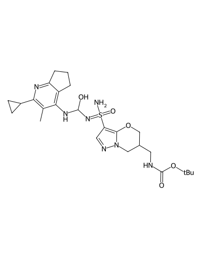 Cc1c(C2CC2)nc2c(c1NC(O)N=S(N)(=O)c1cnn3c1OCC(CNC(=O)OC(C)(C)C)C3)CCC2